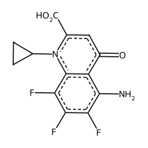 Nc1c(F)c(F)c(F)c2c1c(=O)cc(C(=O)O)n2C1CC1